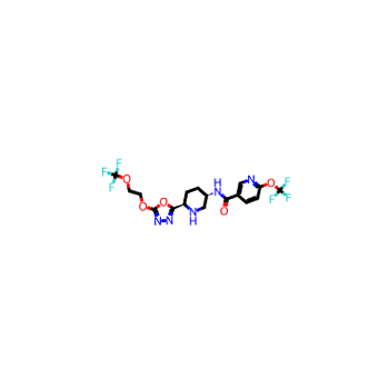 O=C(N[C@H]1CC[C@H](c2nnc(OCCOC(F)(F)F)o2)NC1)c1ccc(OC(F)(F)F)nc1